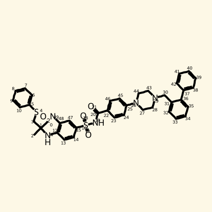 CC(C)(CSc1ccccc1)Nc1ccc(S(=O)(=O)NC(=O)c2ccc(N3CCN(Cc4ccccc4-c4ccccc4)CC3)cc2)cc1[N+](=O)[O-]